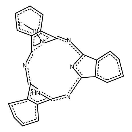 ClBn1c2nc3nc(nc4[nH]c(nc1c1ccccc12)c1ccccc41)-c1ccccc1-3